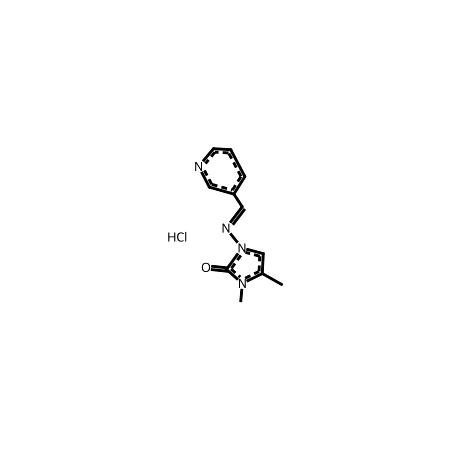 Cc1cn(N=Cc2cccnc2)c(=O)n1C.Cl